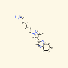 CC1=NN(CCCCCCN)CC1c1cnc2ccccc2n1